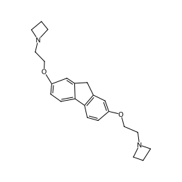 c1cc2c(cc1OCCN1CCC1)Cc1cc(OCCN3CCC3)ccc1-2